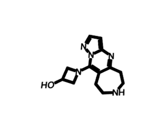 OC1CN(c2c3c(nc4ccnn24)CCNCC3)C1